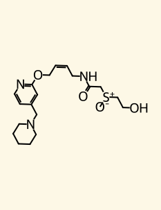 O=C(C[S+]([O-])CCO)NC/C=C\COc1cc(CN2CCCCC2)ccn1